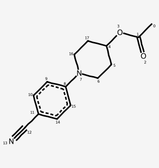 CC(=O)OC1CCN(c2ccc(C#N)cc2)CC1